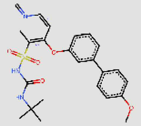 C=N/C=C\C(Oc1cccc(-c2ccc(OC)cc2)c1)=C(/C)S(=O)(=O)NC(=O)NC(C)(C)C